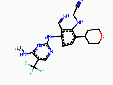 CNc1nc(Nc2ccc(C3CCOCC3)c(NCC#N)c2C=N)ncc1C(F)(F)F